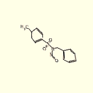 Cc1ccc(S(=O)(=O)N(Cc2ccccc2)N=O)cc1